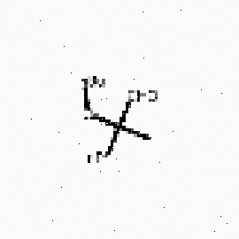 [CH2]CCC(C)(C=O)OCCCC